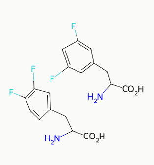 NC(Cc1cc(F)cc(F)c1)C(=O)O.NC(Cc1ccc(F)c(F)c1)C(=O)O